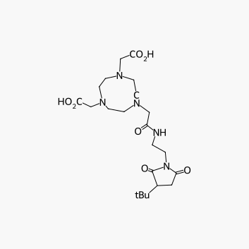 CC(C)(C)C1CC(=O)N(CCNC(=O)CN2CCN(CC(=O)O)CCN(CC(=O)O)CC2)C1=O